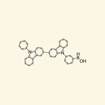 OBc1cccc(-n2c3ccccc3c3cc(-c4ccc5c(c4)c4ccccc4n5-c4ccccc4)ccc32)c1